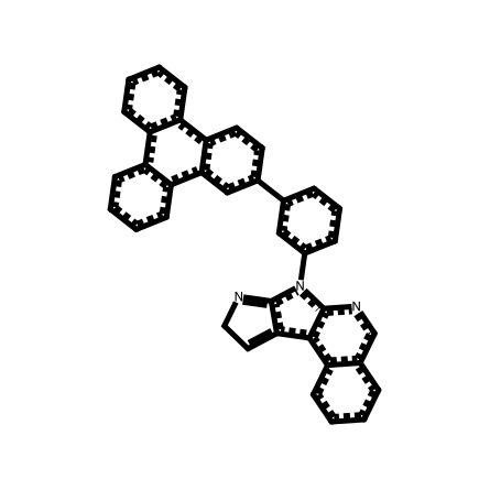 C1=c2c(n(-c3cccc(-c4ccc5c6ccccc6c6ccccc6c5c4)c3)c3ncc4ccccc4c23)=NC1